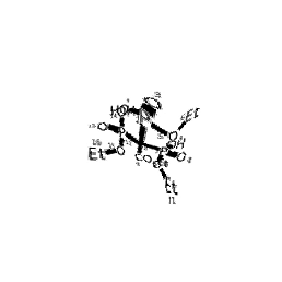 CCOC(=O)C(P(=O)(O)OCC)(P(=O)(O)OCC)P(=O)(O)OCC